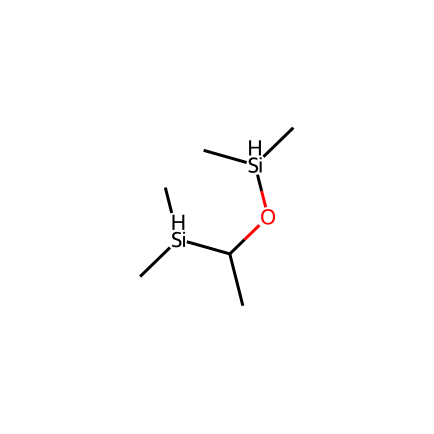 CC(O[SiH](C)C)[SiH](C)C